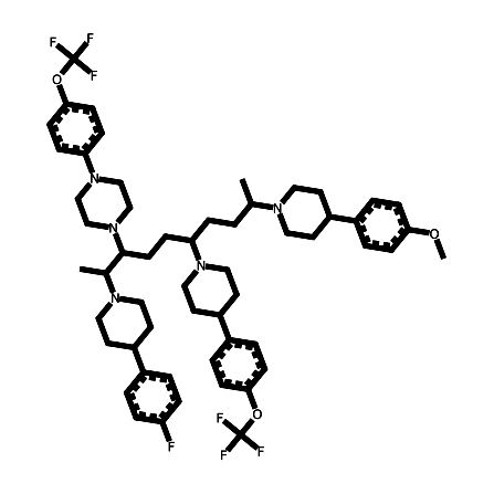 COc1ccc(C2CCN(C(C)CCC(CCC(C(C)N3CCC(c4ccc(F)cc4)CC3)N3CCN(c4ccc(OC(F)(F)F)cc4)CC3)N3CCC(c4ccc(OC(F)(F)F)cc4)CC3)CC2)cc1